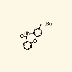 CC(C)(C)Cc1ccc2c(c1)NC(=O)c1ccccc1O2